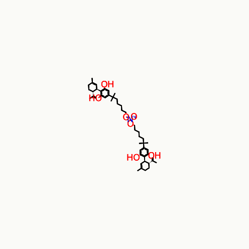 C=C(C)[C@@H]1CCC(C)=C[C@H]1c1c(O)cc(C(C)(C)CCCCCO[N+](=O)OCCCCCC(C)(C)c2cc(O)c([C@@H]3C=C(C)CC[C@H]3C(=C)C)c(O)c2)cc1O